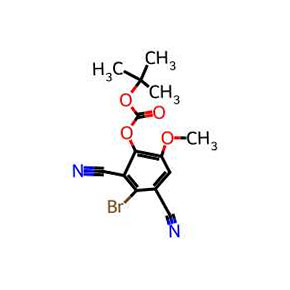 COc1cc(C#N)c(Br)c(C#N)c1OC(=O)OC(C)(C)C